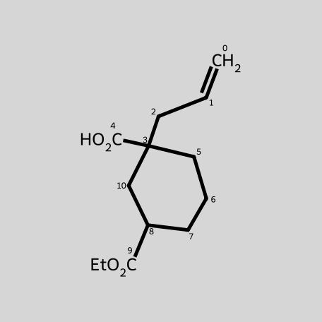 C=CCC1(C(=O)O)CCCC(C(=O)OCC)C1